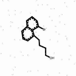 OCCCCc1cccc2cccc(Br)c12